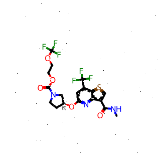 CNC(=O)c1csc2c(C(F)(F)F)cc(O[C@H]3CCN(C(=O)OCCOC(F)(F)F)C3)nc12